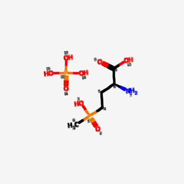 CP(=O)(O)CC[C@H](N)C(=O)O.O=P(O)(O)O